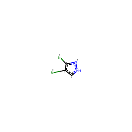 Brc1c[nH]nc1Br